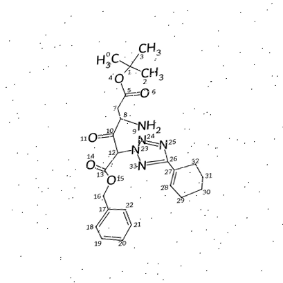 CC(C)(C)OC(=O)CC(N)C(=O)C(C(=O)OCc1ccccc1)n1nnc(C2=CCCCC2)n1